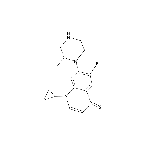 CC1CNCCN1c1cc2c(cc1F)c(=S)ccn2C1CC1